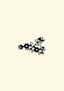 CNC(=N)N(C(=O)c1ccc(-c2cnsc2)cc1)[C@H](COC(=O)NC1(C(F)(F)F)CC1)c1ccc(Cl)c(-c2ncnn2C(F)F)c1